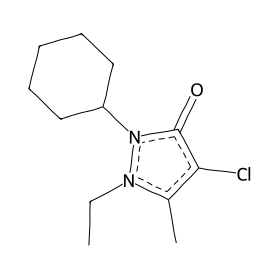 CCn1c(C)c(Cl)c(=O)n1C1CCCCC1